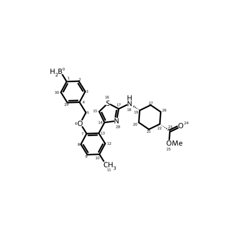 Bc1ccc(COc2ccc(C)cc2-c2csc(N[C@H]3CC[C@@H](C(=O)OC)CC3)n2)cc1